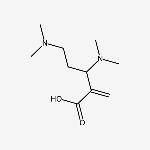 C=C(C(=O)O)C(CCN(C)C)N(C)C